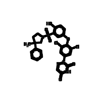 CC1(c2ccccc2)CCN(S(=O)(=O)c2cc(Oc3c(Cl)cc(-n4ncc(=O)[nH]c4=O)cc3Cl)ccc2O)C1